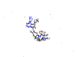 [2H]C1([2H])N(c2cc(-c3cc(C#N)c4c(N)ncnn34)ccc2F)C(=O)C(C)(C)N(C(C)=O)C1([2H])[2H]